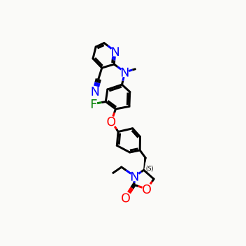 CCN1C(=O)OC[C@@H]1Cc1ccc(Oc2ccc(N(C)c3ncccc3C#N)cc2F)cc1